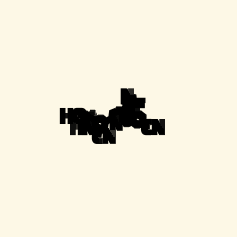 CN1CC(F)C(Oc2ccc(C#N)cc2Cc2nccc(-c3cc(C#N)c4c(c3)[C@@](C)(CO)CN4)n2)C1